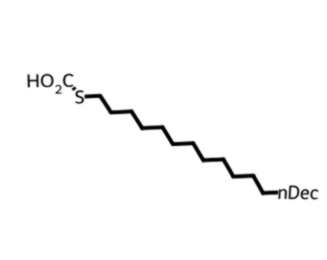 CCCCCCCCCCCCCCCCCCCCCCSC(=O)O